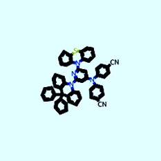 N#Cc1ccc(N(c2ccc(C#N)cc2)c2cc(N3c4ccccc4Sc4ccccc43)nc(N3c4ccccc4C(c4ccccc4)(c4ccccc4)c4ccccc43)c2)cc1